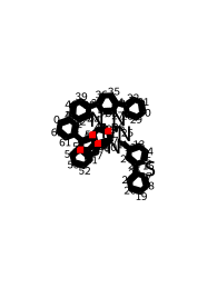 c1ccc(-c2cccc(-c3nc(-c4ccc5sc6ccccc6c5c4)nc(-n4c5ccccc5c5ccc6c7ccccc7n(-c7cccc(-c8ccccc8)c7)c6c54)n3)c2)cc1